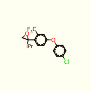 CC(C)C1(c2ccc(Oc3ccc(Cl)cc3)cc2C(F)(F)F)CO1